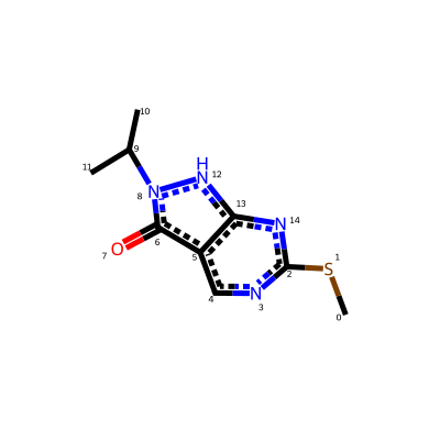 CSc1ncc2c(=O)n(C(C)C)[nH]c2n1